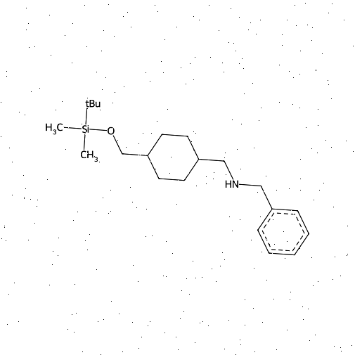 CC(C)(C)[Si](C)(C)OCC1CCC(CNCc2ccccc2)CC1